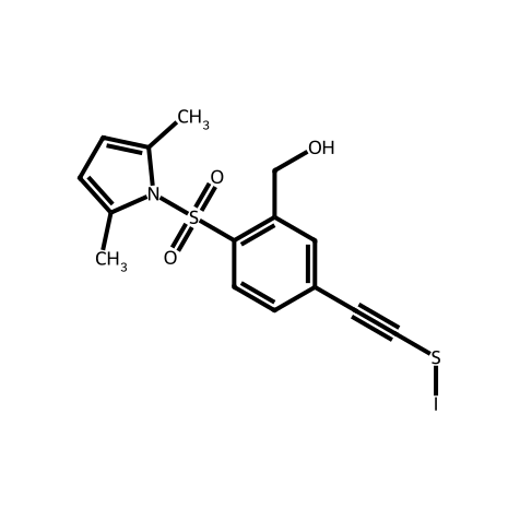 Cc1ccc(C)n1S(=O)(=O)c1ccc(C#CSI)cc1CO